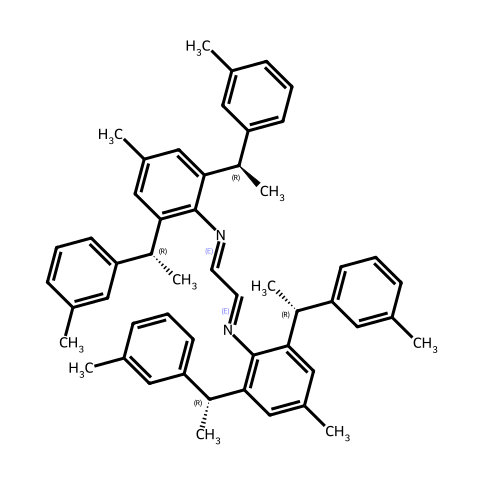 Cc1cccc([C@@H](C)c2cc(C)cc([C@H](C)c3cccc(C)c3)c2/N=C/C=N/c2c([C@H](C)c3cccc(C)c3)cc(C)cc2[C@H](C)c2cccc(C)c2)c1